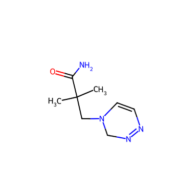 CC(C)(CN1C=CN=NC1)C(N)=O